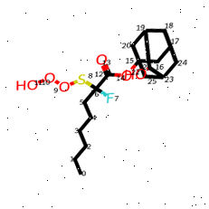 CCCCCCC(F)(SOOO)C(=O)OC12CC3CC(C1)C(O)C(C3)C2